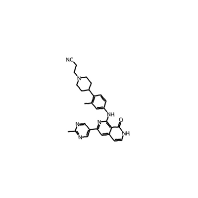 Cc1ncc(-c2cc3cc[nH]c(=O)c3c(Nc3ccc(C4CCN(CCC#N)CC4)c(C)c3)n2)cn1